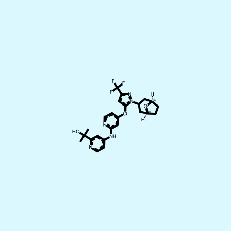 CC(C)(O)c1cc(Nc2cc(Oc3cc(C(F)(F)F)nn3C3C[C@H]4CC[C@@H](C3)O4)ccn2)ccn1